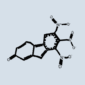 O=C1C=CC2=c3cc([N+](=O)[O-])c([N+](=O)[O-])c([N+](=O)[O-])c3=CC2=C1